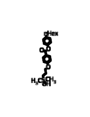 CCCCCCc1ccc(OC(=O)c2ccc(OCCC[Si](C)(C)O)cc2)cc1